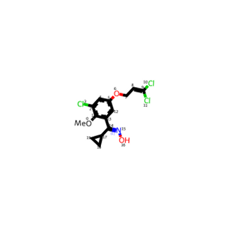 COc1c(Cl)cc(OCC=C(Cl)Cl)cc1/C(=N/O)C1CC1